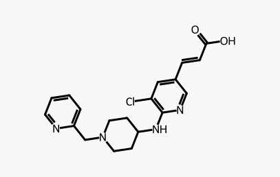 O=C(O)/C=C/c1cnc(NC2CCN(Cc3ccccn3)CC2)c(Cl)c1